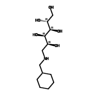 OC[C@@H](O)[C@@H](O)[C@H](O)[C@@H](O)CNCC1CCCCC1